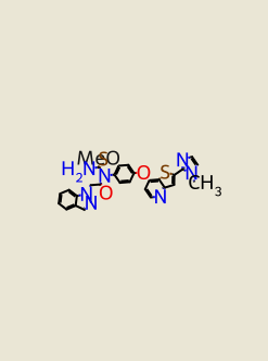 COc1cc(Oc2ccnc3cc(-c4nccn4C)sc23)ccc1N(C(=O)Cn1ncc2ccccc21)C(N)=S